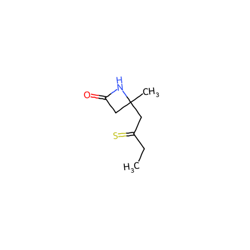 CCC(=S)CC1(C)CC(=O)N1